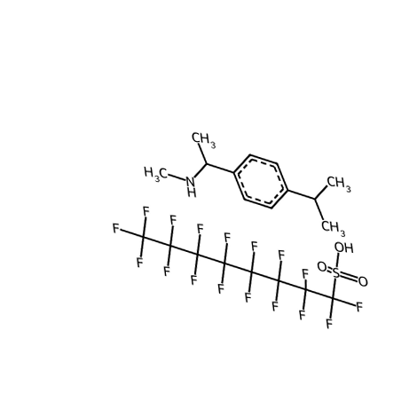 CNC(C)c1ccc(C(C)C)cc1.O=S(=O)(O)C(F)(F)C(F)(F)C(F)(F)C(F)(F)C(F)(F)C(F)(F)C(F)(F)C(F)(F)F